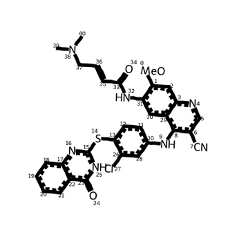 COc1cc2ncc(C#N)c(Nc3ccc(Sc4nc5ccccc5c(=O)[nH]4)c(Cl)c3)c2cc1NC(=O)C=CCN(C)C